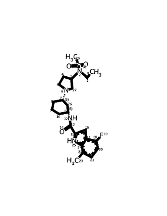 CCN(C1CCN([C@H]2CCC[C@@H](NC(=O)c3cc4c(F)ccc(C)c4[nH]3)C2)C1)S(C)(=O)=O